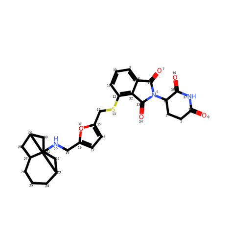 O=C1CCC(N2C(=O)c3cccc(SCc4ccc(CNC56CC7CCCC5CC7C6)o4)c3C2=O)C(=O)N1